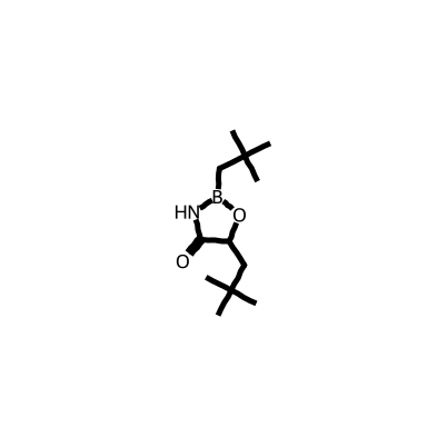 CC(C)(C)CB1NC(=O)C(CC(C)(C)C)O1